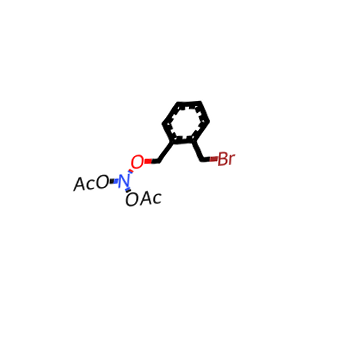 CC(=O)ON(OCc1ccccc1CBr)OC(C)=O